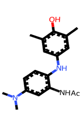 CC(=O)Nc1cc(N(C)C)ccc1Nc1cc(C)c(O)c(C)c1